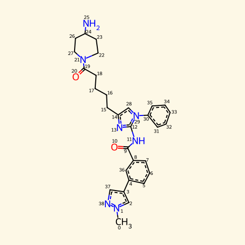 Cn1cc(-c2cccc(C(=O)Nc3nc(CCCCC(=O)N4CCC(N)CC4)cn3-c3ccccc3)c2)cn1